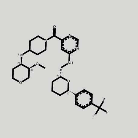 CO[C@H]1COCC[C@H]1NC1CCN(C(=O)c2cc(NC[C@H]3CCC[C@@H](c4ccc(C(F)(F)F)cc4)O3)ncn2)CC1